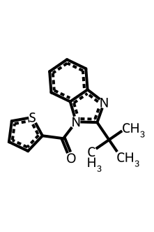 CC(C)(C)c1nc2ccccc2n1C(=O)c1cccs1